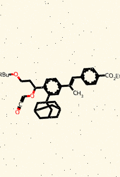 CCOC(=O)c1ccc(C=C(C)c2ccc(C(CCOC(C)(C)C)OC=C=O)c(C34CC5CC(CC(C5)C3)C4)c2)cc1